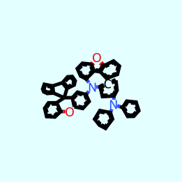 c1ccc(N(c2ccccc2)c2cccc(N(c3ccc4c(c3)C3(c5ccccc5O4)c4ccccc4-c4ccccc43)c3cccc4oc5ccccc5c34)c2)cc1